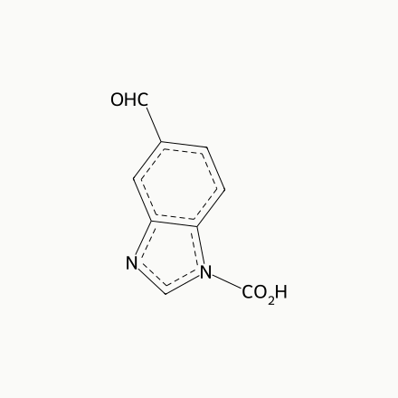 O=Cc1ccc2c(c1)ncn2C(=O)O